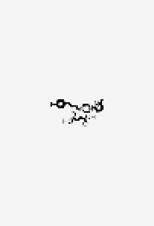 Cc1cccc(N2CCN(CCCCc3ccc(F)cc3)CC2)n1.O=C(O)C=CC(=O)O